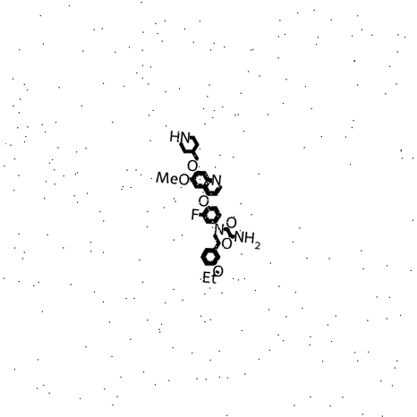 CCOc1cccc(CCN(C(=O)C(N)=O)c2ccc(Oc3ccnc4cc(OCC5CCNCC5)c(OC)cc34)c(F)c2)c1